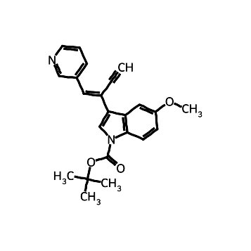 C#CC(=Cc1cccnc1)c1cn(C(=O)OC(C)(C)C)c2ccc(OC)cc12